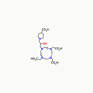 O=C(O)CN1CCN(CC(=O)O)CCN(CC(O)CN2CCC(C(=O)O)CC2)CCN(CC(=O)O)CC1